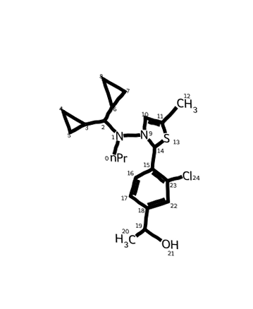 CCCN(C(C1CC1)C1CC1)N1C=C(C)SC1c1ccc(C(C)O)cc1Cl